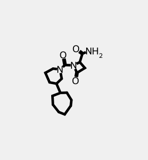 NC(=O)C1CC(=O)N1C(=O)N1CCCC(C2CCCCCCC2)C1